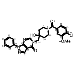 COc1cc(C(=O)N2CCC(O)(Cn3cnc4c(cnn4-c4ccccc4)c3=O)CC2)ccc1Cl